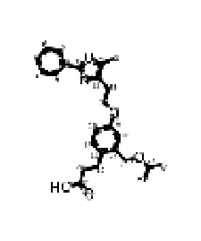 Cc1oc(-c2ccccc2)nc1CCOc1ccc(CCC(=O)O)c(COC(C)C)c1